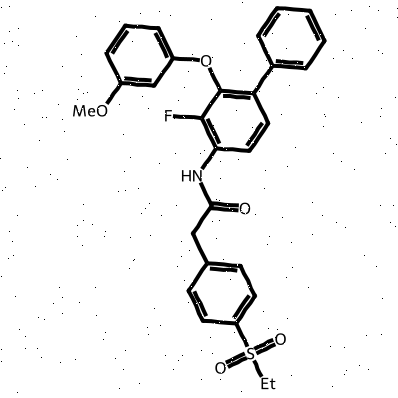 CCS(=O)(=O)c1ccc(CC(=O)Nc2ccc(-c3ccccc3)c(Oc3cccc(OC)c3)c2F)cc1